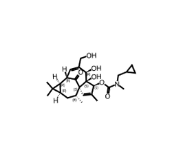 CC1=C[C@]23C(=O)[C@@H](C=C(CO)[C@@H](O)[C@]2(O)[C@H]1OC(=O)N(C)CC1CC1)[C@H]1[C@@H](C[C@H]3C)C1(C)C